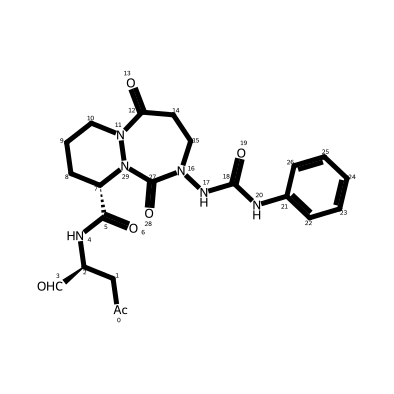 CC(=O)C[C@@H](C=O)NC(=O)[C@@H]1CCCN2C(=O)CCN(NC(=O)Nc3ccccc3)C(=O)N12